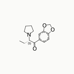 CC[C@@H](C(=O)c1ccc2c(c1)OCO2)N1CCCC1